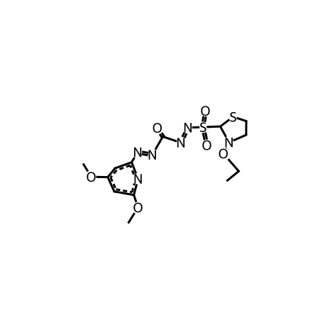 CCON1CCSC1S(=O)(=O)N=NC(=O)N=Nc1cc(OC)cc(OC)n1